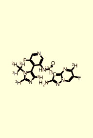 [2H]c1nc2[13c]([13C](=O)Nc3cncc(F)c3-c3c([2H])nc([2H])n3C([2H])([2H])[2H])c(N)nn2cc1F